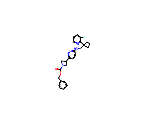 O=C(OCc1ccccc1)N1CC(c2ccc(NCC3(c4ncccc4F)CCC3)nn2)C1